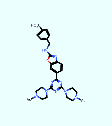 CC(=O)N1CCN(c2nc(-c3ccc4nc(NCc5ccc(C(=O)O)cc5)oc4c3)nc(N3CCN(C(C)=O)CC3)n2)CC1